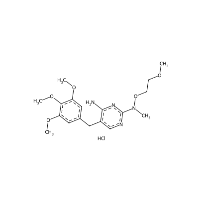 COCCON(C)c1ncc(Cc2cc(OC)c(OC)c(OC)c2)c(N)n1.Cl